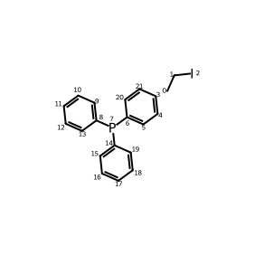 CCI.c1ccc(P(c2ccccc2)c2ccccc2)cc1